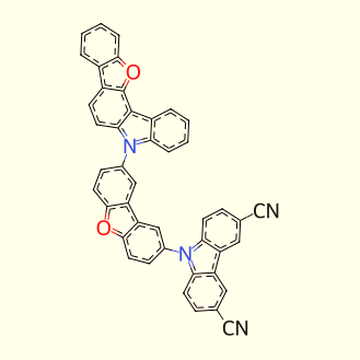 N#Cc1ccc2c(c1)c1cc(C#N)ccc1n2-c1ccc2oc3ccc(-n4c5ccccc5c5c6oc7ccccc7c6ccc54)cc3c2c1